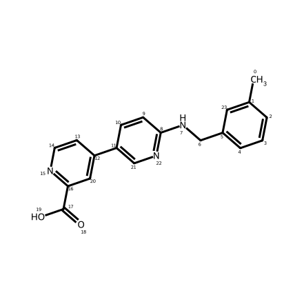 Cc1cccc(CNc2ccc(-c3ccnc(C(=O)O)c3)cn2)c1